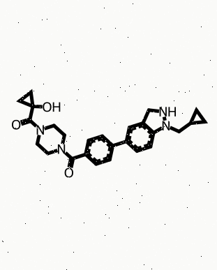 O=C(c1ccc(-c2ccc3c(c2)CNN3CC2CC2)cc1)N1CCN(C(=O)C2(O)CC2)CC1